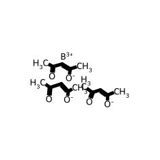 CC(=O)/C=C(/C)[O-].CC(=O)/C=C(/C)[O-].CC(=O)/C=C(/C)[O-].[B+3]